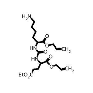 C=CCOC(=O)C(CCCCN)NC(=O)NC(CCC(=O)OCC)C(=O)OCC=C